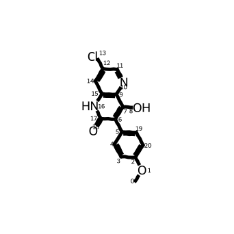 COc1ccc(-c2c(O)c3ncc(Cl)cc3[nH]c2=O)cc1